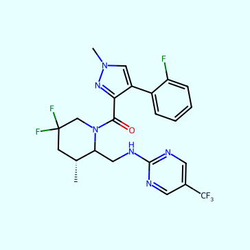 C[C@@H]1CC(F)(F)CN(C(=O)c2nn(C)cc2-c2ccccc2F)C1CNc1ncc(C(F)(F)F)cn1